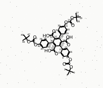 CC(C)(C)OC(=O)Oc1ccc(-c2c(C(=O)O)c(-c3ccc(OC(=O)OC(C)(C)C)cc3)c(C(=O)O)c(-c3ccc(OC(=O)OC(C)(C)C)cc3)c2C(=O)O)cc1